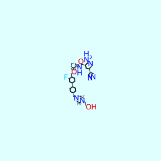 C[C@@H]1CN(Cc2ccc(-c3ccc(CO[C@H]4CCC[C@@H]4NC(=O)c4cc(-c5cnn(C)c5)cnc4N)c(F)c3)cc2)C[C@H](C)N1CCO